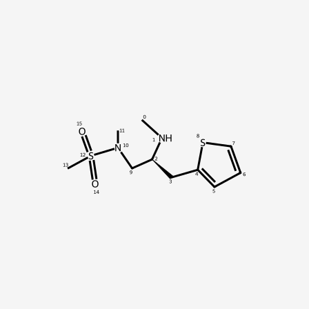 CN[C@@H](Cc1cccs1)CN(C)S(C)(=O)=O